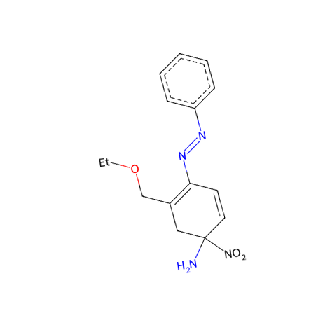 CCOCC1=C(N=Nc2ccccc2)C=CC(N)([N+](=O)[O-])C1